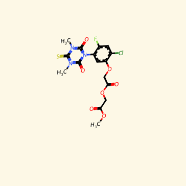 COC(=O)COC(=O)COc1cc(-n2c(=O)n(C)c(=S)n(C)c2=O)c(F)cc1Cl